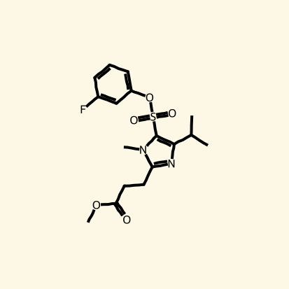 COC(=O)CCc1nc(C(C)C)c(S(=O)(=O)Oc2cccc(F)c2)n1C